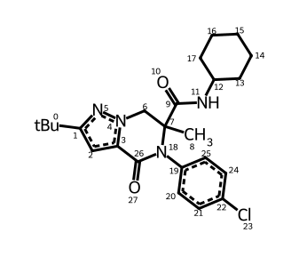 CC(C)(C)c1cc2n(n1)CC(C)(C(=O)NC1CCCCC1)N(c1ccc(Cl)cc1)C2=O